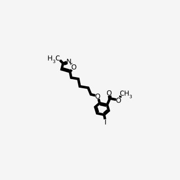 COC(=O)c1cc(I)ccc1OCCCCCc1cc(C)no1